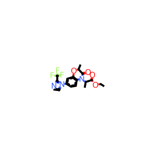 CCOC(=O)C(C)N1C(=O)C(C)Oc2cc(-n3ccnc3C(F)(F)F)ccc21